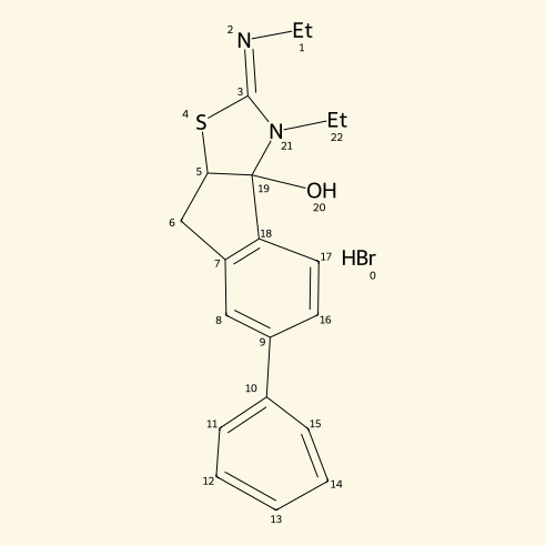 Br.CCN=C1SC2Cc3cc(-c4ccccc4)ccc3C2(O)N1CC